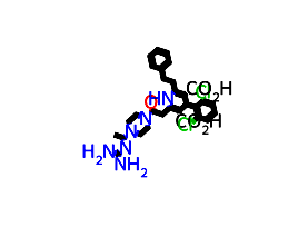 CC(N=C(N)N)N1CCN(C(=O)CC2=C(C(=O)O)C(c3c(Cl)cccc3Cl)C(C(=O)O)=C(CCc3ccccc3)N2)CC1